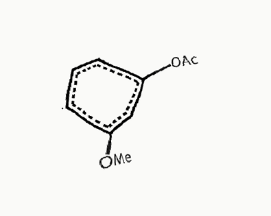 COc1[c]ccc(OC(C)=O)c1